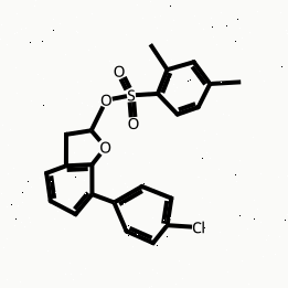 Cc1ccc(S(=O)(=O)OC2Cc3cccc(-c4ccc(Cl)cc4)c3O2)c(C)c1